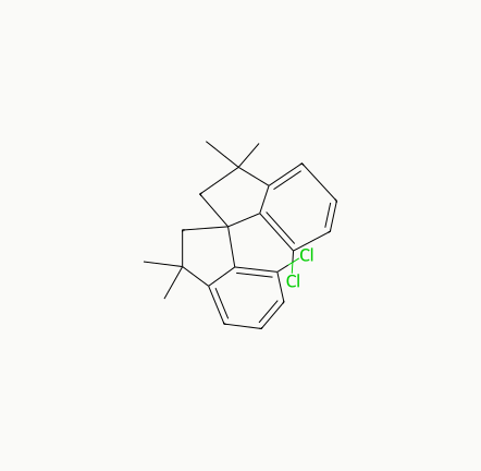 CC1(C)CC2(CC(C)(C)c3cccc(Cl)c32)c2c(Cl)cccc21